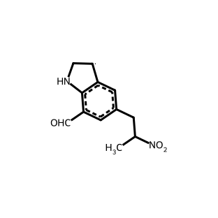 CC(Cc1cc2c(c(C=O)c1)NC[CH]2)[N+](=O)[O-]